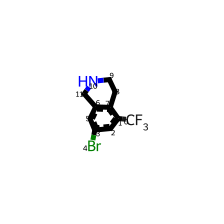 FC(F)(F)c1cc(Br)cc2c1CCNC2